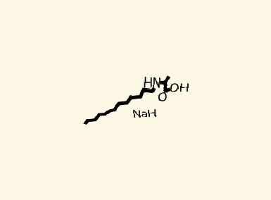 CCCCCCCCCCCCCNC(C)C(=O)O.[NaH]